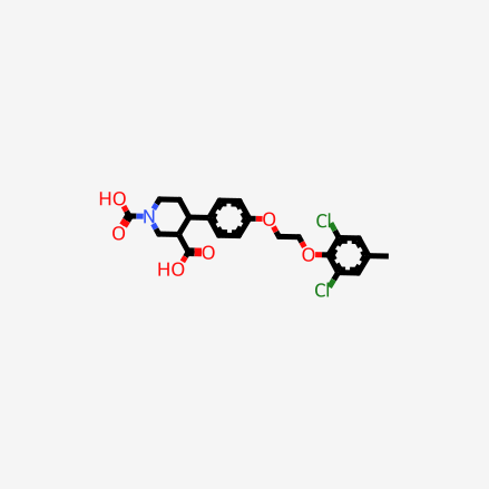 Cc1cc(Cl)c(OCCOc2ccc(C3CCN(C(=O)O)CC3C(=O)O)cc2)c(Cl)c1